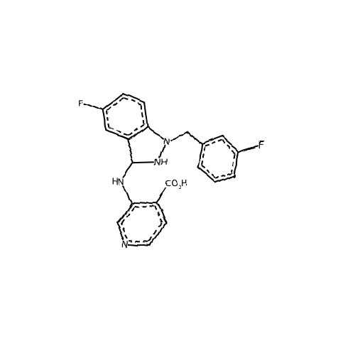 O=C(O)c1ccncc1NC1NN(Cc2cccc(F)c2)c2ccc(F)cc21